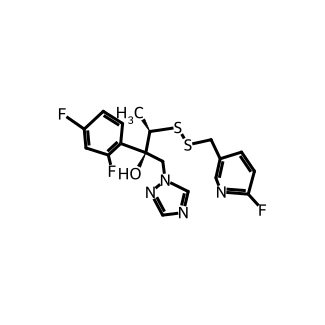 C[C@@H](SSCc1ccc(F)nc1)[C@](O)(Cn1cncn1)c1ccc(F)cc1F